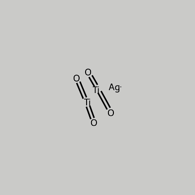 [Ag].[O]=[Ti]=[O].[O]=[Ti]=[O]